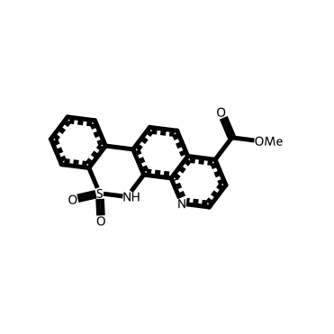 COC(=O)c1ccnc2c3c(ccc12)-c1ccccc1S(=O)(=O)N3